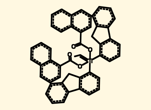 C[CH]=[Ti]([O]C(=O)c1cccc2ccccc12)([O]C(=O)c1cccc2ccccc12)([c]1cccc2c1Cc1ccccc1-2)[c]1cccc2c1Cc1ccccc1-2